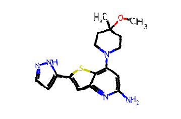 COC1(C)CCN(c2cc(N)nc3cc(-c4ccn[nH]4)sc23)CC1